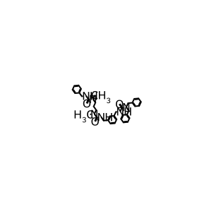 CN(CCCN(C)C(=O)NCc1cccc(CNC(=O)N(Cc2ccccc2)Cc2ccccc2)c1)C(=O)NCc1ccccc1